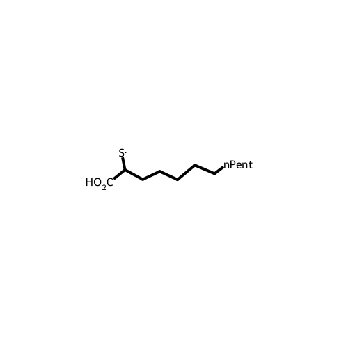 CCCCCCCCCCC([S])C(=O)O